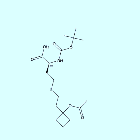 CC(=O)OC1(CCSCC[C@H](NC(=O)OC(C)(C)C)C(=O)O)CCC1